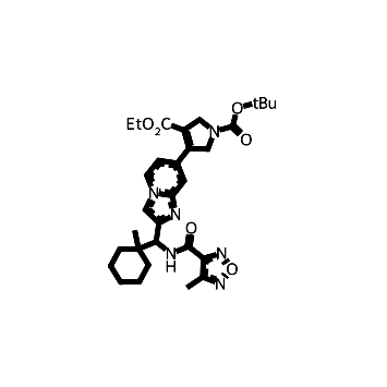 CCOC(=O)C1=C(c2ccn3cc(C(NC(=O)c4nonc4C)C4(C)CCCCC4)nc3c2)CN(C(=O)OC(C)(C)C)C1